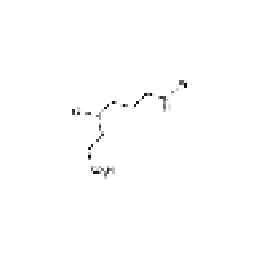 CCNCCCN(CC)CCS(=O)(=O)O